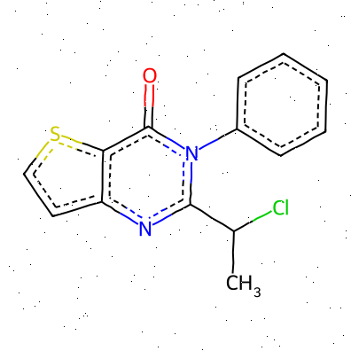 CC(Cl)c1nc2ccsc2c(=O)n1-c1ccccc1